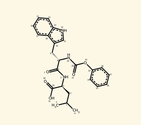 CC(C)C[C@H](NC(=O)[C@H](Cc1c[nH]c2ccccc12)NC(=O)Oc1ccccc1)C(=O)O